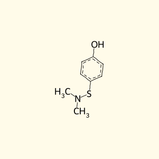 CN(C)Sc1ccc(O)cc1